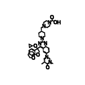 CC1=CN(c2ccc3nc(N4CCC(CN5CCN(C(=O)O)CC5)CC4)nc(C(COC4CCCCO4)(OC4CC4)c4ccccc4)c3c2)CN(C)C1=O